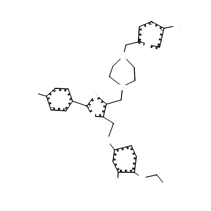 Cc1cc(SCc2sc(-c3ccc(C(F)(F)F)cc3)nc2CN2CCN(Cc3ccc(Cl)cc3)CC2)ccc1OCC(=O)O